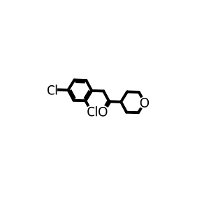 O=C(Cc1ccc(Cl)cc1Cl)C1CCOCC1